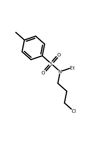 CCN(CCCCl)S(=O)(=O)c1ccc(C)cc1